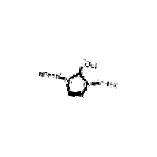 CCCCCCCCC1N(CCCCC)C=CN1CCCCCC